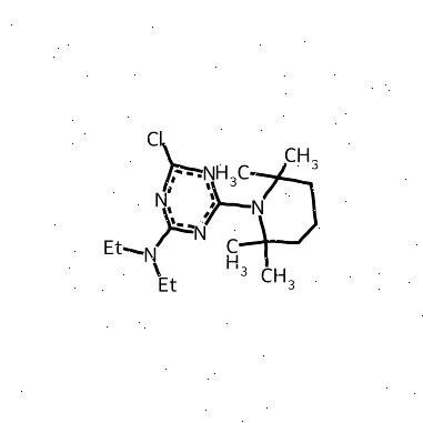 CCN(CC)c1nc(Cl)nc(N2C(C)(C)CCCC2(C)C)n1